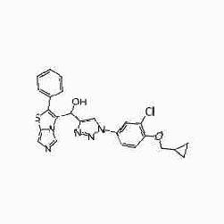 OC(c1cn(-c2ccc(OCC3CC3)c(Cl)c2)nn1)c1c(-c2ccccc2)sc2cncn12